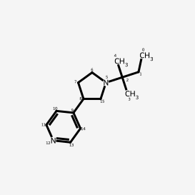 CCC(C)(C)N1CCC(c2ccncc2)C1